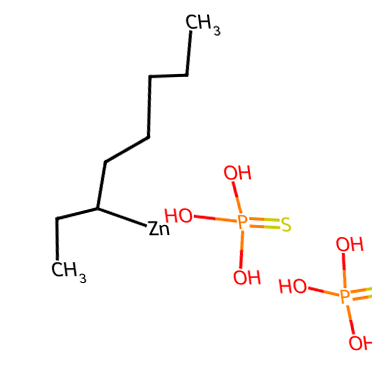 CCCCC[CH]([Zn])CC.OP(O)(O)=S.OP(O)(O)=S